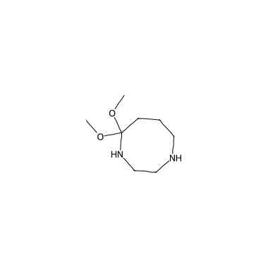 COC1(OC)CCCNCCN1